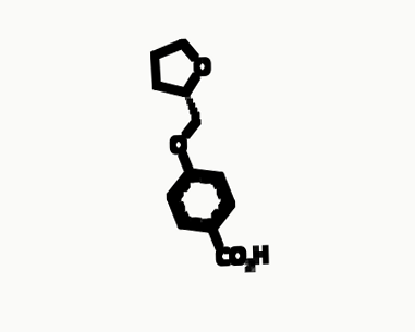 O=C(O)c1ccc(OC[C@@H]2CCCO2)cc1